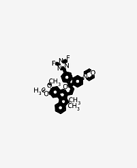 COc1cc2c3c(c4c(c2cc1OC)-c1ccccc1C4(C)C)C=CC(c1ccc(-c2nc(F)nc(F)n2)cc1)(c1ccc(N2CCOCC2)cc1)O3